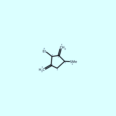 C=C1CC(SC)C(=C)C1CC